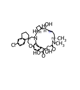 C[C@H]1C/C=C/[C@H](O)[C@@H]2CC[C@H]2CN2C[C@@]3(CCCc4cc(Cl)ccc43)COc3ccc(cc32)[C@](O)(C(=O)O)CC(=O)N1C